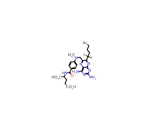 CC(=O)CCCC(F)(F)c1nc2nc(N)nc(N)c2nc1CN(C)c1ccc(C(=O)NC(CCC(=O)O)C(=O)O)cc1